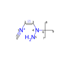 C#[N+]/C=C\N(N)C(C)(C)C